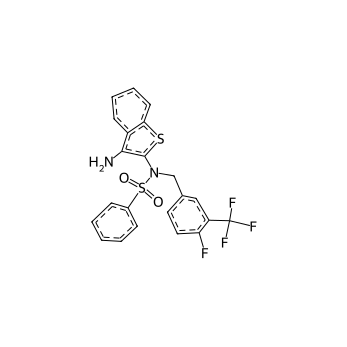 Nc1c(N(Cc2ccc(F)c(C(F)(F)F)c2)S(=O)(=O)c2ccccc2)sc2ccccc12